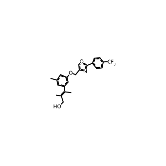 C/C(CO)=C(/C)c1cc(C)cc(OCc2coc(-c3ccc(C(F)(F)F)cc3)n2)c1